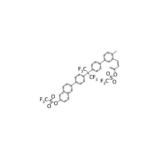 C=C(/C=C\c1cc(-c2ccc(C(c3ccc(-c4ccc5cc(OS(=O)(=O)C(F)(F)F)ccc5c4)cc3)(C(F)(F)F)C(F)(F)F)cc2)ccc1C)OS(=O)(=O)C(F)(F)F